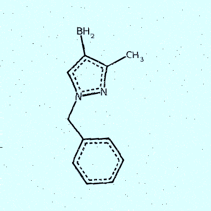 Bc1cn(Cc2ccccc2)nc1C